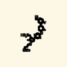 CCOc1ccc(F)c(N2CC[C@@H](Oc3cnc(N4C[C@H](OCCCOC)[C@@H](C)[C@@H]4CC(=O)O)cn3)[C@H](C)C2)c1